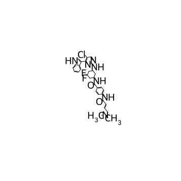 CN(C)CC=CC(=O)Nc1ccc(C(=O)N[C@@H]2C[C@H](Nc3ncc(Cl)c(-c4c[nH]c5ccccc45)n3)CC(F)(F)C2)cc1